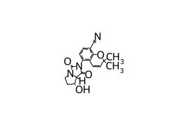 CC1(C)C=Cc2c(N3C(=O)[C@@H]4[C@H](O)CCN4C3=O)ccc(C#N)c2O1